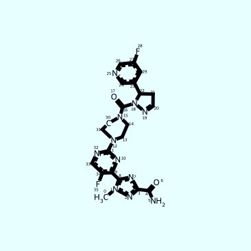 Cn1nc(C(N)=O)nc1-c1nc(N2CCN(C(=O)N3N=CCC3c3cncc(F)c3)CC2)ncc1F